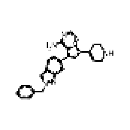 Nc1ncnn2c(C3=CCNCC3)cc(-c3ccc4cn(Cc5ccccc5)nc4c3)c12